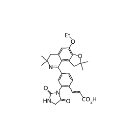 CCOc1cc2c(c3c1OC(C)(C)C3)C(c1ccc(C=CC(=O)O)c(N3C(=O)CNC3=O)c1)=NC(C)(C)C2